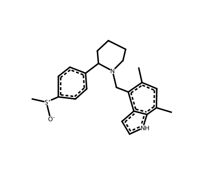 Cc1cc(C)c2[nH]ccc2c1CN1CCCCC1c1ccc([S+](C)[O-])cc1